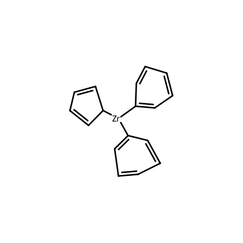 C1=C[CH]([Zr]([c]2ccccc2)[c]2ccccc2)C=C1